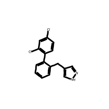 Clc1ccc(-c2ccccc2Cc2cn[nH]c2)c(Cl)c1